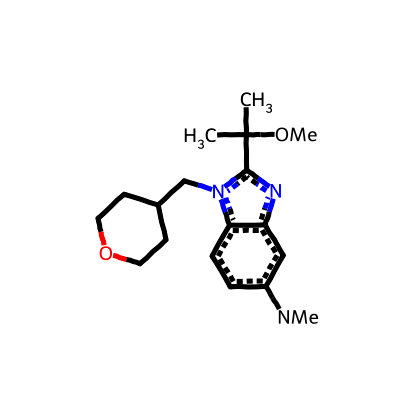 CNc1ccc2c(c1)nc(C(C)(C)OC)n2CC1CCOCC1